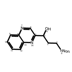 CCCCCCCCCCCC(O)c1cnc2ccccc2n1